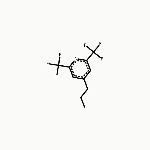 [CH2]CCc1cc(C(F)(F)F)nc(C(F)(F)F)c1